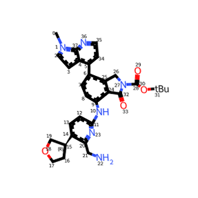 Cn1ccc2c(-c3ccc(Nc4ccc([C@H]5CCOC5)c(CN)n4)c4c3CN(C(=O)OC(C)(C)C)C4=O)ccnc21